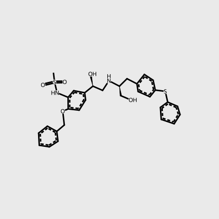 CS(=O)(=O)Nc1cc([C@@H](O)CN[C@H](CO)Cc2ccc(Sc3ccccc3)cc2)ccc1OCc1ccccc1